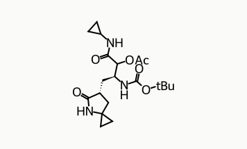 CC(=O)OC(C(=O)NC1CC1)[C@H](C[C@@H]1CC2(CC2)NC1=O)NC(=O)OC(C)(C)C